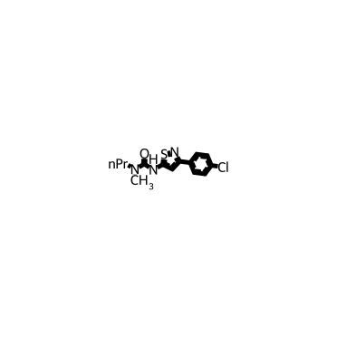 CCCN(C)C(=O)Nc1cc(-c2ccc(Cl)cc2)ns1